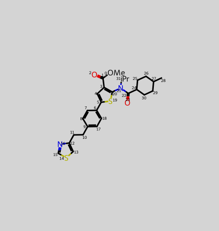 COC(=O)c1cc(-c2ccc(CCc3cscn3)cc2)sc1N(C(=O)C1CCC(C)CC1)C(C)C